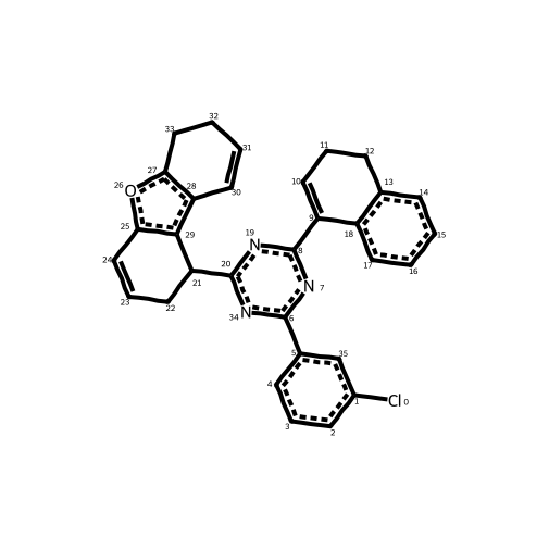 Clc1cccc(-c2nc(C3=CCCc4ccccc43)nc(C3CC=Cc4oc5c(c43)C=CCC5)n2)c1